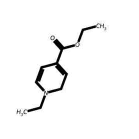 CCOC(=O)C1=CCN(CC)C=C1